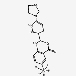 O=C1OC(C2CC=C(N3CCNC3)NN2)Nc2ccc(S(F)(F)(F)(F)F)cc21